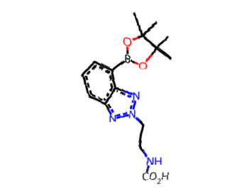 CC1(C)OB(c2cccc3nn(CCNC(=O)O)nc23)OC1(C)C